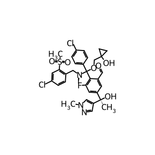 Cn1cc([C@](C)(O)c2cc(F)c(C(OCC3(O)CC3)(c3ccc(Cl)cc3)N(I)Cc3ccc(Cl)cc3S(C)(=O)=O)c(C=O)c2)cn1